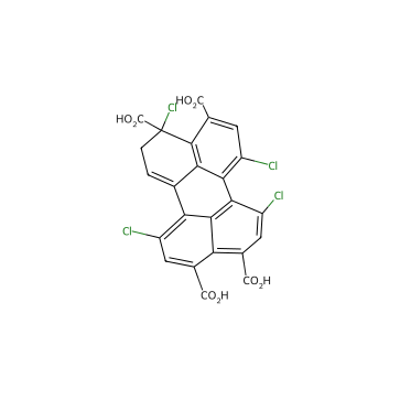 O=C(O)c1cc(Cl)c2c3c1C(Cl)(C(=O)O)CC=c3c1c(Cl)cc(C(=O)O)c3c(C(=O)O)cc(Cl)c2c31